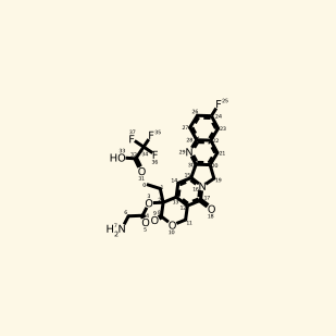 CCC1(OC(=O)CN)C(=O)OCc2c1cc1n(c2=O)Cc2cc3cc(F)ccc3nc2-1.O=C(O)C(F)(F)F